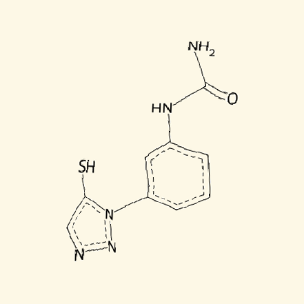 NC(=O)Nc1cccc(-n2nncc2S)c1